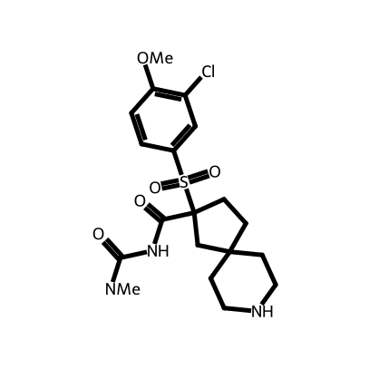 CNC(=O)NC(=O)C1(S(=O)(=O)c2ccc(OC)c(Cl)c2)CCC2(CCNCC2)C1